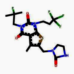 Cc1c(CN2CCNC2=O)sc2c1c(=O)n(CC(C)(C)F)c(=O)n2CCC(F)(F)F